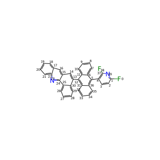 Fc1ccc(-c2c3ccccc3c(-c3cc4cc5ccccc5nc4c4ccccc34)c3ccccc23)c(F)n1